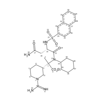 CCOC(=O)C(C)([C@H]1CCCN(C(=N)N)C1)N(C(=O)[C@H](CC(N)=O)NS(=O)(=O)c1ccc2ccccc2c1)C1CCCCC1